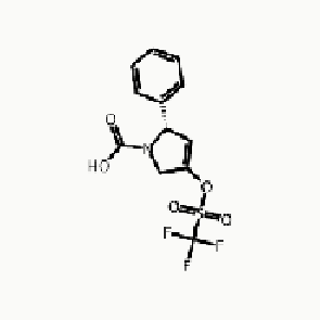 O=C(O)N1CC(OS(=O)(=O)C(F)(F)F)=C[C@H]1c1ccccc1